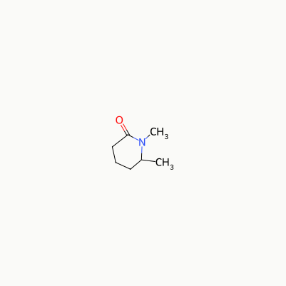 CC1CCCC(=O)N1C